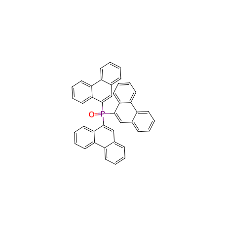 O=P(c1cc2ccccc2c2ccccc12)(c1cc2ccccc2c2ccccc12)c1cc2ccccc2c2ccccc12